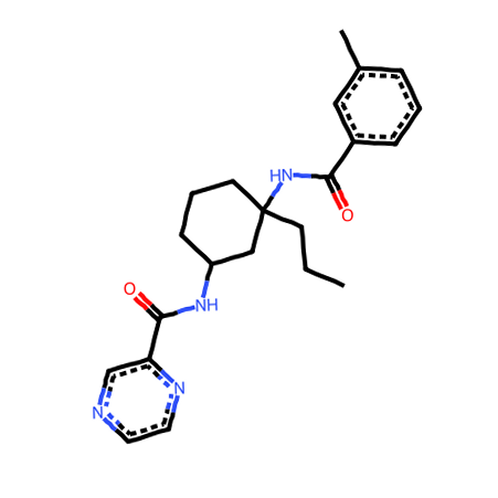 CCCC1(NC(=O)c2cccc(C)c2)CCCC(NC(=O)c2cnccn2)C1